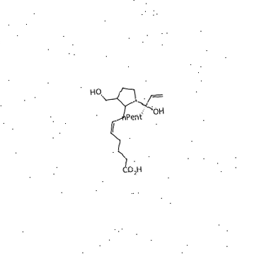 C=C[C@](O)(CCCCC)C1CCC(CO)C1C/C=C\CCCC(=O)O